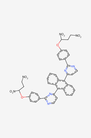 O=[N+]([O-])CCC(Oc1ccc(-c2nccc(-c3c4ccccc4c(-c4ccnc(-c5ccc(OC(CC[N+](=O)[O-])[N+](=O)[O-])cc5)n4)c4ccccc34)n2)cc1)[N+](=O)[O-]